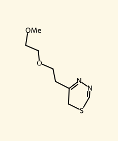 COCCOCCC1=NN=CSC1